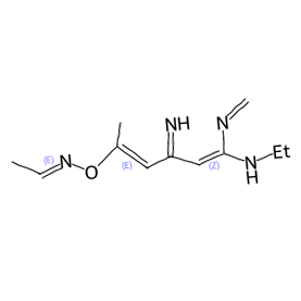 C=N/C(=C\C(=N)/C=C(\C)O/N=C/C)NCC